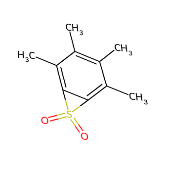 Cc1c(C)c(C)c2c(c1C)S2(=O)=O